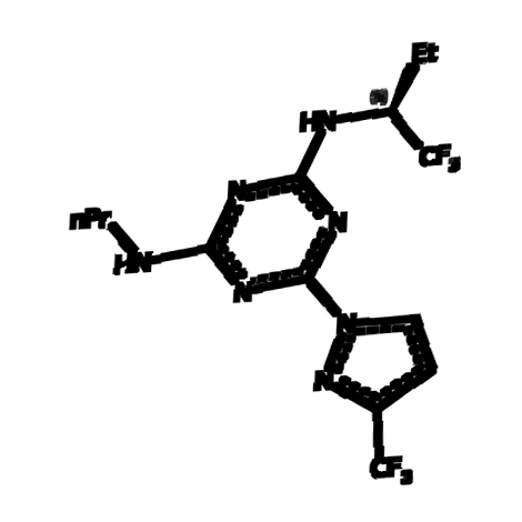 CCCNc1nc(N[C@@H](CC)C(F)(F)F)nc(-n2ccc(C(F)(F)F)n2)n1